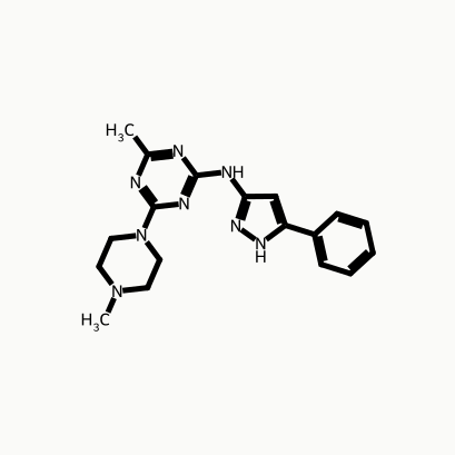 Cc1nc(Nc2cc(-c3ccccc3)[nH]n2)nc(N2CCN(C)CC2)n1